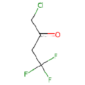 O=C(CCl)CC(F)(F)F